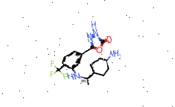 C[C@@H](Nc1cc(-c2n[nH]c(=O)o2)ccc1C(F)(F)F)C1CCC(N)CC1